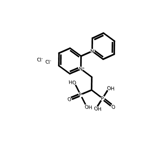 O=P(O)(O)C(C[n+]1ccccc1-[n+]1ccccc1)P(=O)(O)O.[Cl-].[Cl-]